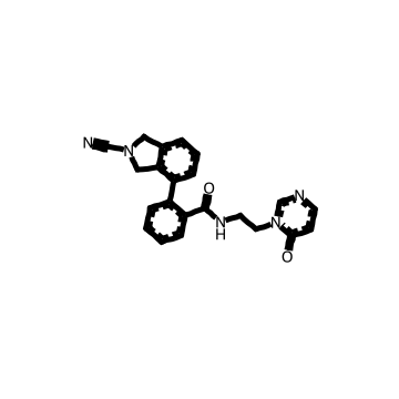 N#CN1Cc2cccc(-c3ccccc3C(=O)NCCn3cnccc3=O)c2C1